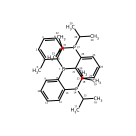 Cc1ccccc1B(c1ccccc1P(C(C)C)C(C)C)c1ccccc1P(C(C)C)C(C)C